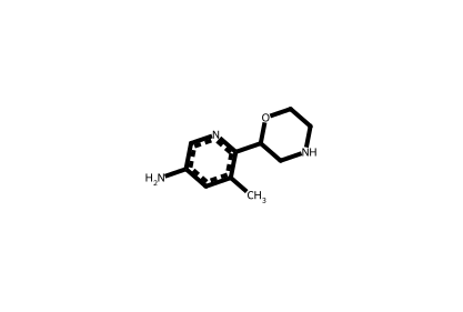 Cc1cc(N)cnc1C1CNCCO1